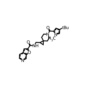 Cn1cc(C(C)(C)C)cc1C(=O)N1CCC2(CC1)CC2CNC(=O)c1cc2ccncc2o1